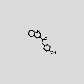 O=C(Cc1ccc(O)cc1)c1cnc2ccccc2c1